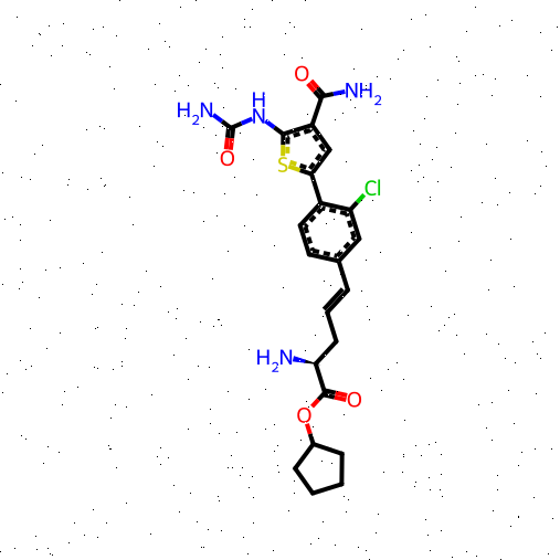 NC(=O)Nc1sc(-c2ccc(C=CC[C@H](N)C(=O)OC3CCCC3)cc2Cl)cc1C(N)=O